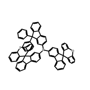 c1ccc(C2(c3ccccc3)c3ccccc3-c3ccc(N(c4ccc5c(c4)-c4ccccc4C54c5ccccc5Oc5ccccc54)c4ccc5c(c4)C4(c6ccccc6Sc6ccccc64)c4ccccc4-5)cc32)cc1